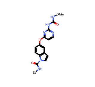 CCNC(=O)n1ccc2cc(Oc3ccnc(NC(=O)NOC)n3)ccc21